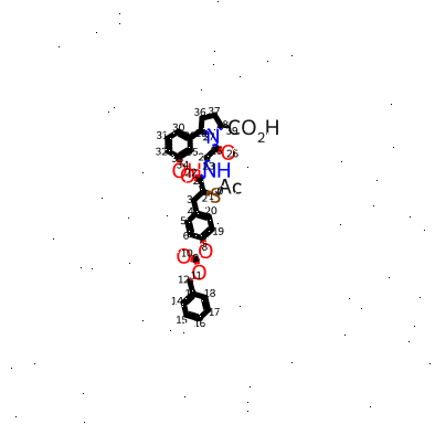 CC(=O)SC(Cc1ccc(OC(=O)OCc2ccccc2)cc1)C(=O)NCC(=O)N1C(c2cccc(O)c2)CC[C@H]1C(=O)O